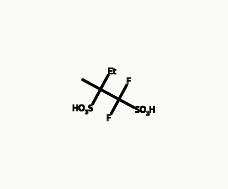 CCC(C)(C(F)(F)S(=O)(=O)O)S(=O)(=O)O